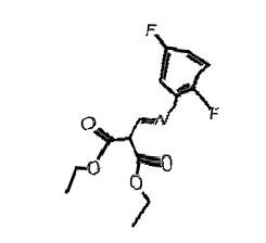 CCOC(=O)C(/C=N/c1cc(F)ccc1F)C(=O)OCC